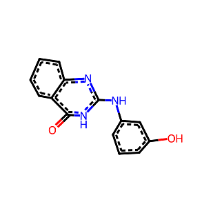 O=c1[nH]c(Nc2cccc(O)c2)nc2ccccc12